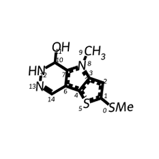 CSc1cc2c(s1)c1c(n2C)C(O)NN=C1